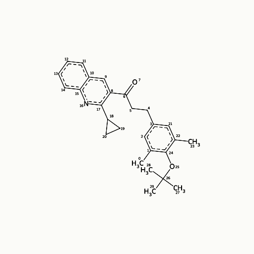 Cc1cc(CCC(=O)c2cc3ccccc3nc2C2CC2)cc(C)c1OC(C)(C)C